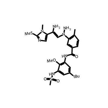 COc1c(NC(=O)c2ccc(C)c(N(N)/C=C(\N)c3cnc(SC)n3C)c2)cc(C(C)(C)C)cc1NS(C)(=O)=O